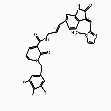 Cn1ccnc1/C=C1/C(=O)Nc2cc(/C=C/CNC(=O)c3cccn(Cc4cc(F)c(F)c(F)c4)c3=O)ccc21